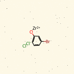 Brc1cccc([O][Zr+2])c1.[Cl-].[Cl-]